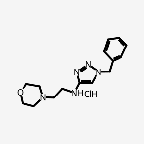 Cl.c1ccc(Cn2cc(NCCN3CCOCC3)nn2)cc1